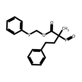 CC(CCc1ccccc1)(P=O)C(=O)OCSc1ccccc1